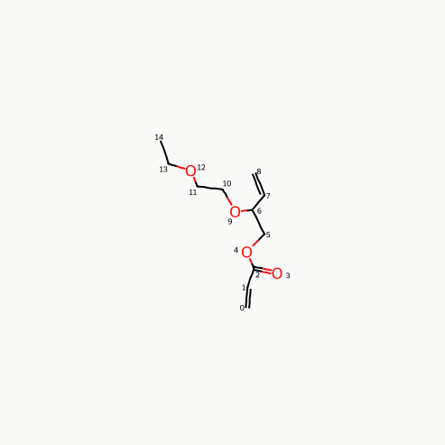 C=CC(=O)OCC(C=C)OCCOCC